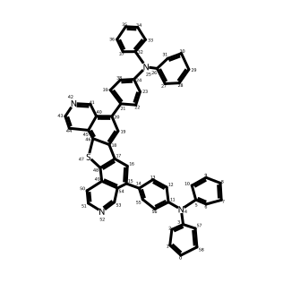 c1ccc(N(c2ccccc2)c2ccc(-c3cc4c5cc(-c6ccc(N(c7ccccc7)c7ccccc7)cc6)c6cnccc6c5sc4c4ccncc34)cc2)cc1